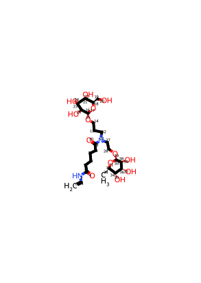 C=CNC(=O)CCCCC(=O)N(CCCO[C@@H]1O[C@H](CO)[C@@H](O)[C@H](O)[C@@H]1O)CCO[C@@H]1O[C@@H](C)[C@@H](O)[C@@H](O)[C@@H]1O